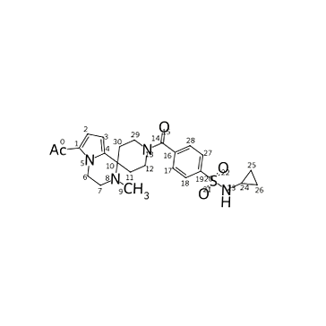 CC(=O)c1ccc2n1CCN(C)C21CCN(C(=O)c2ccc(S(=O)(=O)NC3CC3)cc2)CC1